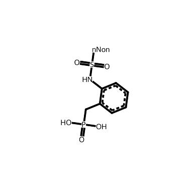 CCCCCCCCCS(=O)(=O)Nc1ccccc1CP(=O)(O)O